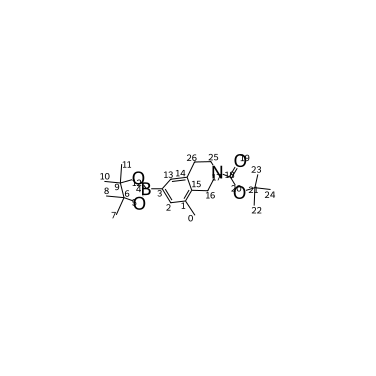 Cc1cc(B2OC(C)(C)C(C)(C)O2)cc2c1CN(C(=O)OC(C)(C)C)CC2